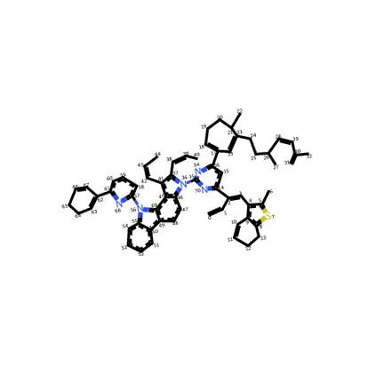 C=C/C(=C\c1c(C)sc2c1C=CCC2)c1cc(C2=CCCC(C)C(CCC(C)/C=C\C(=C)C)=C2)nc(-n2c(/C=C\C)c(/C=C\C)c3c2ccc2c4ccccc4n(-c4cccc(C5=CCCC=C5)n4)c23)n1